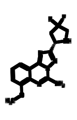 COc1cccc2c1nc(N)n1nc([C@@H]3CC(F)(F)CN3)nc21